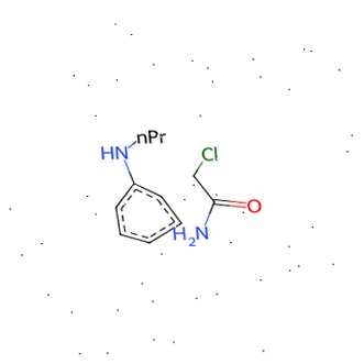 CCCNc1ccccc1.NC(=O)CCl